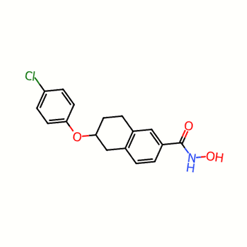 O=C(NO)c1ccc2c(c1)CCC(Oc1ccc(Cl)cc1)C2